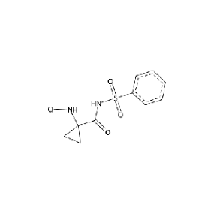 O=C(NS(=O)(=O)c1ccccc1)C1(NCl)CC1